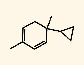 CC1=CCC(C)([C]2CC2)C=C1